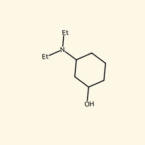 CCN(CC)C1CCCC(O)C1